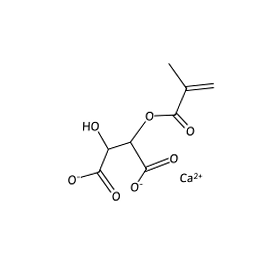 C=C(C)C(=O)OC(C(=O)[O-])C(O)C(=O)[O-].[Ca+2]